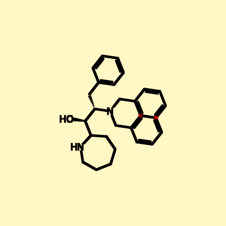 O[C@H](C1CCCCCN1)[C@H](Cc1ccccc1)N(Cc1ccccc1)Cc1ccccc1